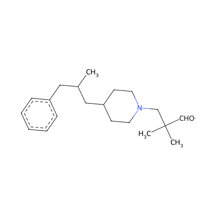 CC(Cc1ccccc1)CC1CCN(CC(C)(C)[C]=O)CC1